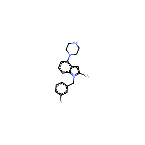 FC(F)(F)c1cc2c(N3CCNCC3)cccc2n1Cc1cccc(Cl)c1